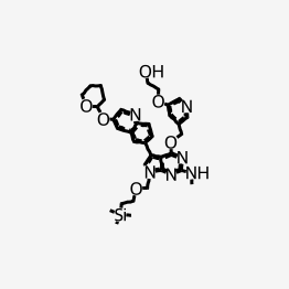 CNc1nc(OCc2cncc(OCCO)c2)c2c(-c3ccc4ncc(OC5CCCCO5)cc4c3)cn(COCC[Si](C)(C)C)c2n1